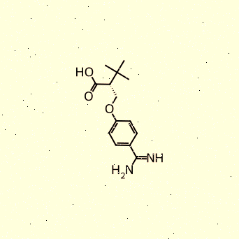 CC(C)(C)[C@H](COc1ccc(C(=N)N)cc1)C(=O)O